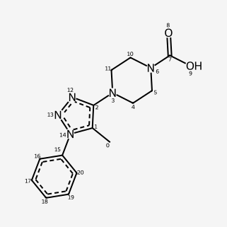 Cc1c(N2CCN(C(=O)O)CC2)nnn1-c1ccccc1